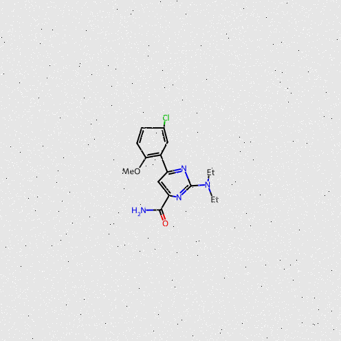 CCN(CC)c1nc(C(N)=O)cc(-c2cc(Cl)ccc2OC)n1